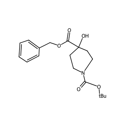 CC(C)(C)OC(=O)N1CCC(O)(C(=O)OCc2ccccc2)CC1